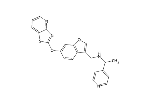 CC(NCc1coc2cc(Oc3nc4ncccc4s3)ccc12)c1ccncc1